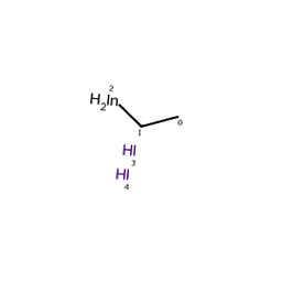 C[CH2][InH2].I.I